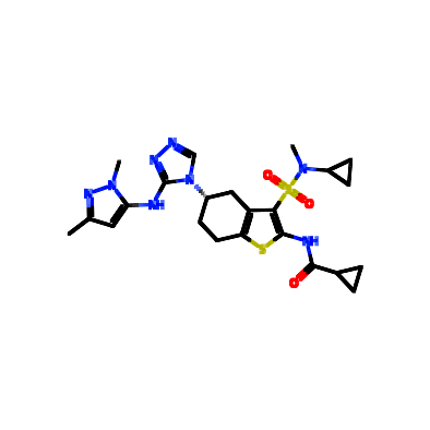 Cc1cc(Nc2nncn2[C@H]2CCc3sc(NC(=O)C4CC4)c(S(=O)(=O)N(C)C4CC4)c3C2)n(C)n1